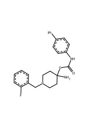 CC(C)c1ccc(NC(=O)OC2(N)CCN(Cc3ccccc3F)CC2)cc1